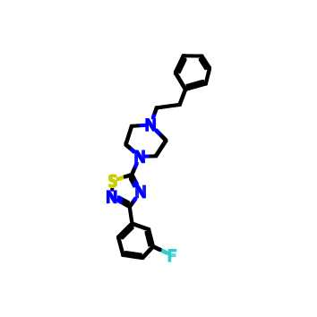 Fc1cccc(-c2nsc(N3CCN(CCc4ccccc4)CC3)n2)c1